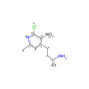 CCC(N)CCc1cc(C)nc(Cl)c1[N+](=O)[O-]